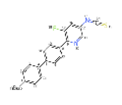 CCCCc1ccc(-c2ccc(-c3ncc(N=C=S)cc3F)cc2)cc1